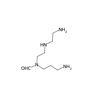 NCCCN(C=O)CCNCCN